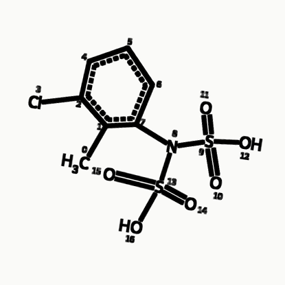 Cc1c(Cl)cccc1N(S(=O)(=O)O)S(=O)(=O)O